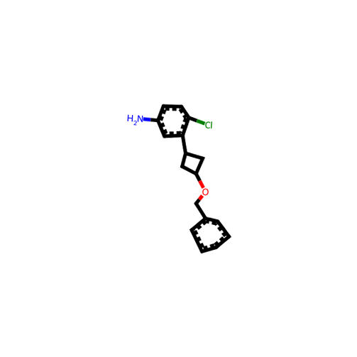 Nc1ccc(Cl)c(C2CC(OCc3ccccc3)C2)c1